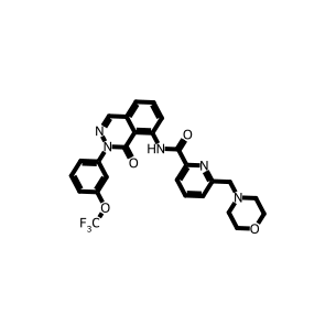 O=C(Nc1cccc2cnn(-c3cccc(OC(F)(F)F)c3)c(=O)c12)c1cccc(CN2CCOCC2)n1